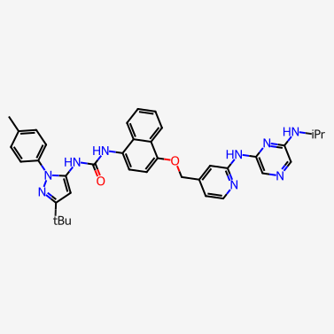 Cc1ccc(-n2nc(C(C)(C)C)cc2NC(=O)Nc2ccc(OCc3ccnc(Nc4cncc(NC(C)C)n4)c3)c3ccccc23)cc1